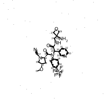 CO[C@@H]1C[C@H](C(=O)N(c2ccc(S(F)(F)(F)(F)F)cc2)C(C(=O)NCC2(N)COC2)c2cccnc2)N(C#N)C1